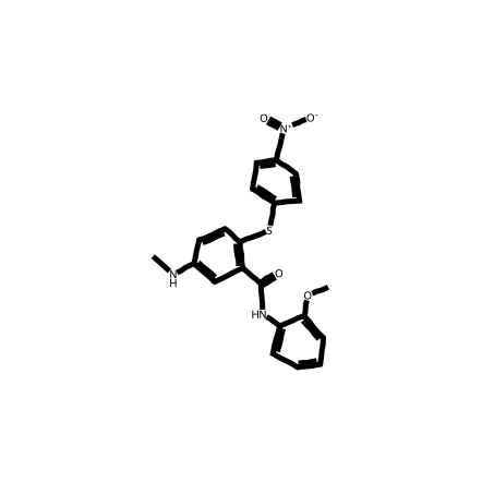 CNc1ccc(Sc2ccc([N+](=O)[O-])cc2)c(C(=O)Nc2ccccc2OC)c1